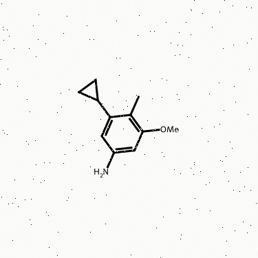 COc1cc(N)cc(C2CC2)c1C